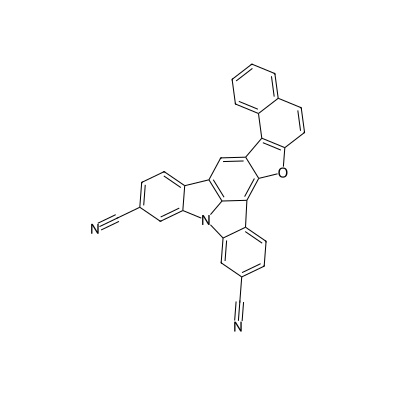 N#Cc1ccc2c3cc4c(oc5ccc6ccccc6c54)c4c5ccc(C#N)cc5n(c2c1)c34